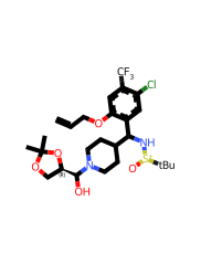 C=CCOc1cc(C(F)(F)F)c(Cl)cc1C(N[S+]([O-])C(C)(C)C)C1CCN(C(O)[C@H]2COC(C)(C)O2)CC1